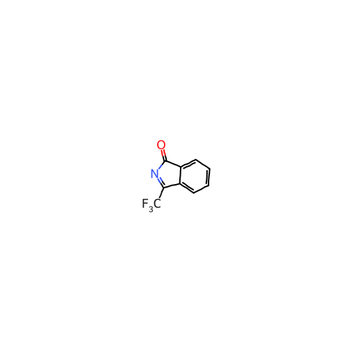 O=C1N=C(C(F)(F)F)c2ccccc21